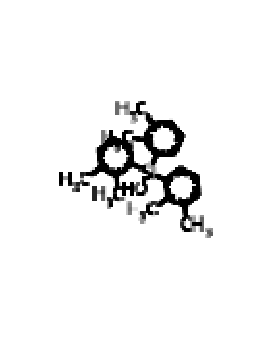 Cc1cccc([Si](O)(c2cccc(C)c2C)c2cccc(C)c2C)c1C